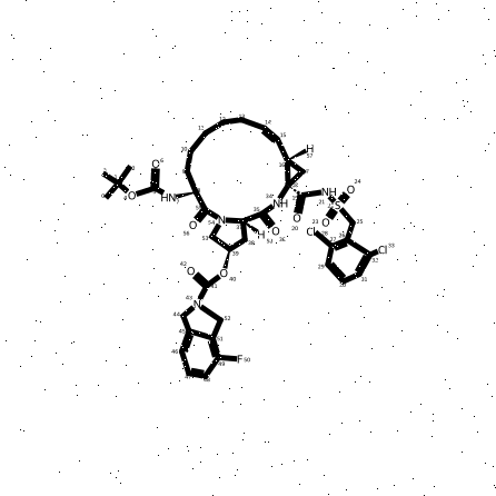 CC(C)(C)OC(=O)N[C@H]1CCCCC/C=C\[C@@H]2C[C@@]2(C(=O)NS(=O)(=O)Cc2c(Cl)cccc2Cl)NC(=O)[C@@H]2C[C@@H](OC(=O)N3Cc4cccc(F)c4C3)CN2C1=O